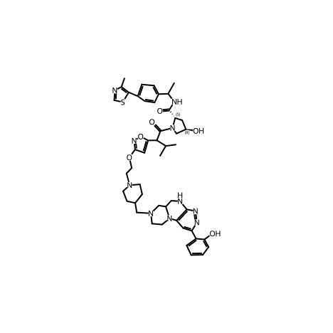 Cc1ncsc1-c1ccc(C(C)NC(=O)[C@@H]2C[C@@H](O)CN2C(=O)C(c2cc(OCCN3CCC(CN4CCN5c6cc(-c7ccccc7O)nnc6NCC5C4)CC3)no2)C(C)C)cc1